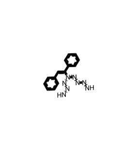 N=NN=N[N+](=NN=N)C(=Cc1ccccc1)c1ccccc1